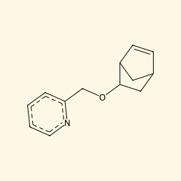 C1=CC2CC1CC2OCc1ccccn1